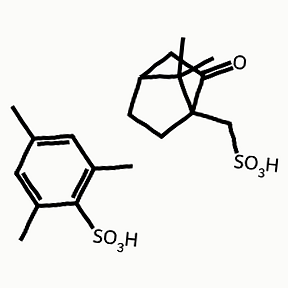 CC1(C)C2CCC1(CS(=O)(=O)O)C(=O)C2.Cc1cc(C)c(S(=O)(=O)O)c(C)c1